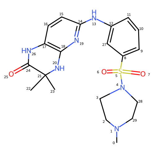 CN1CCN(S(=O)(=O)c2cccc(Nc3ccc4c(n3)NC(C)(C)C(=O)N4)c2)CC1